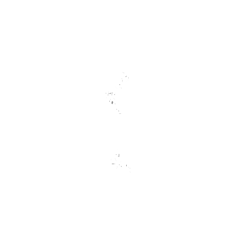 NC(=O)c1nn(C2CN(C(=O)COCCOCCOCCOCCNc3cccc4c3C(=O)N(C3CCC(=O)NC3=O)C4=O)C2)cc1NC(=O)c1coc(-c2ccnc(NCC(F)(F)F)c2)n1